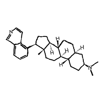 CN(C)[C@H]1CC[C@H]2[C@@H](CC[C@@H]3[C@@H]2CC[C@]2(C)[C@@H](c4cccc5cnccc45)CC[C@@H]32)C1